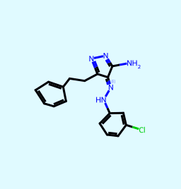 NC1=NN=C(CCc2ccccc2)/C1=N\Nc1cccc(Cl)c1